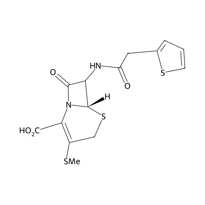 CSC1=C(C(=O)O)N2C(=O)C(NC(=O)Cc3cccs3)[C@@H]2SC1